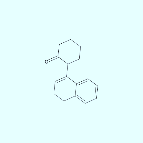 O=C1CCCCC1C1=CCCc2ccccc21